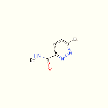 CCNC(=O)c1ccc(CC)nn1